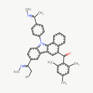 CC(=O)O/N=C(\C)c1ccc(-n2c3ccc(/C(CC(C)C)=N/OC(C)=O)cc3c3cc(C(=O)c4c(C)cc(C)cc4C)c4ccccc4c32)cc1